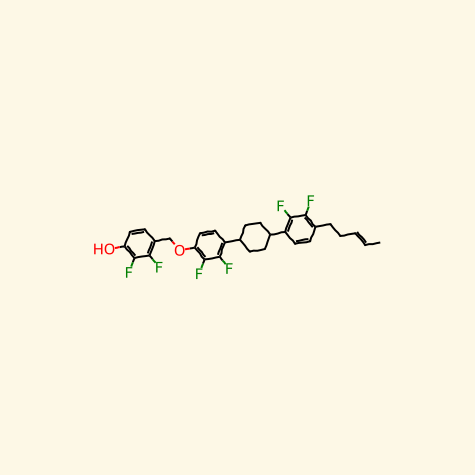 C/C=C/CCc1ccc(C2CCC(c3ccc(OCc4ccc(O)c(F)c4F)c(F)c3F)CC2)c(F)c1F